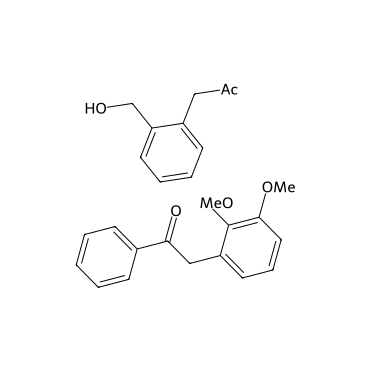 CC(=O)Cc1ccccc1CO.COc1cccc(CC(=O)c2ccccc2)c1OC